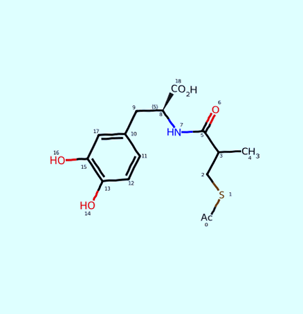 CC(=O)SCC(C)C(=O)N[C@@H](Cc1ccc(O)c(O)c1)C(=O)O